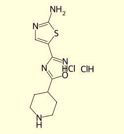 Cl.Cl.Nc1ncc(-c2noc(C3CCNCC3)n2)s1